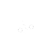 Cc1ccc(N=C(N=CN(C)C)c2ccccc2Br)cc1F